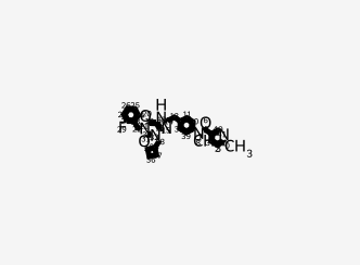 Cc1ccc(C(=O)N(C)c2ccc(Cc3nc4c([nH]3)c(=O)n(Cc3ccccc3F)c(=O)n4CC3CCC3)cc2)cn1